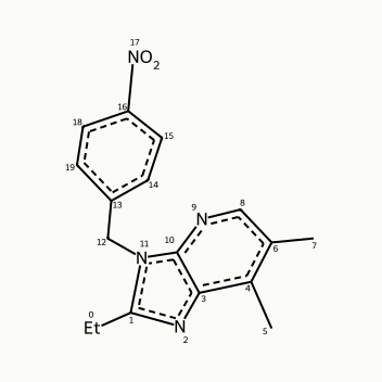 CCc1nc2c(C)c(C)cnc2n1Cc1ccc([N+](=O)[O-])cc1